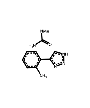 CNC(N)=O.Cc1ccccc1-c1c[nH]nn1